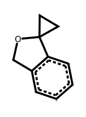 [c]1ccc2c(c1)COC21CC1